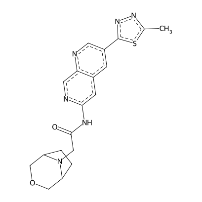 Cc1nnc(-c2cnc3cnc(NC(=O)CN4C5CCC4COC5)cc3c2)s1